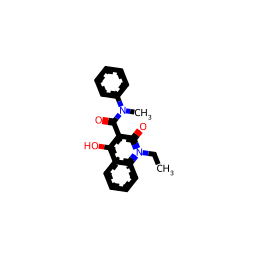 CCn1c(=O)c(C(=O)N(C)c2ccccc2)c(O)c2ccccc21